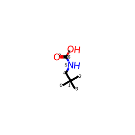 CC(C)(C)CNC(=O)O